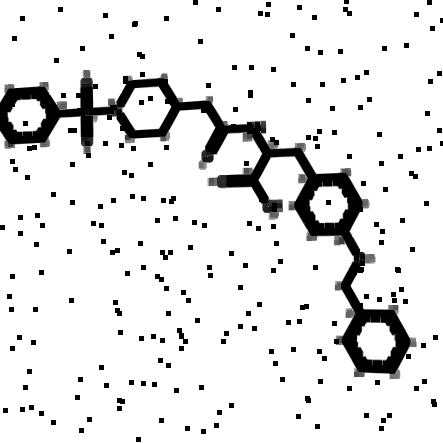 O=C(CC1CCN(S(=O)(=O)c2ccccc2)CC1)NC(Cc1ccc(OCc2ccccc2)cc1)C(=O)O